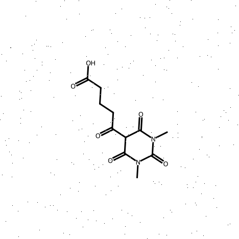 CN1C(=O)C(C(=O)CCCC(=O)O)C(=O)N(C)C1=O